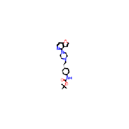 CC(C)(C)OC(=O)N[C@H]1CC[C@H](CCN2CCN(c3nccc4occc34)CC2)CC1